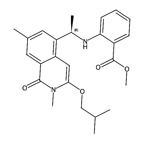 COC(=O)c1ccccc1N[C@H](C)c1cc(C)cc2c(=O)n(C)c(OCC(C)C)cc12